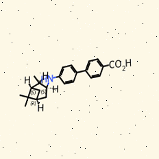 C[C@@H]1[C@@H](Nc2ccc(-c3ccc(C(=O)O)cc3)cc2)C[C@H]2C[C@@H]1C2(C)C